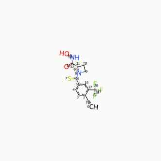 C#Cc1ccc(C(=S)N2CC[C@@H]2C(=O)NO)cc1C(F)(F)F